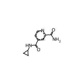 NC(=O)c1[c]c(C(=O)NC2CC2)ccn1